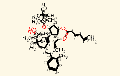 C=CCCCC(=O)O[C@H]1C[C@@H](O[Si](C)(C)C(C)(C)C)[C@H](/C=C/[C@H](CCc2ccccc2C)CC(C)(C)[Si](C)(C)O)[C@H]1CC=C